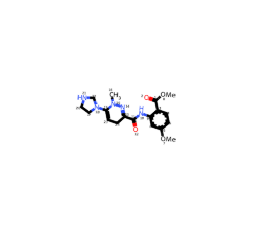 COC(=O)c1ccc(OC)cc1NC(=O)C1=NN(C)C(N2CCNC2)=CC1